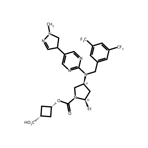 CC[C@@H]1C[C@H](N(Cc2cc(C(F)(F)F)cc(C(F)(F)F)c2)c2ncc(C3C=NN(C)C3)cn2)CN1C(=O)O[C@H]1C[C@@H](C(=O)O)C1